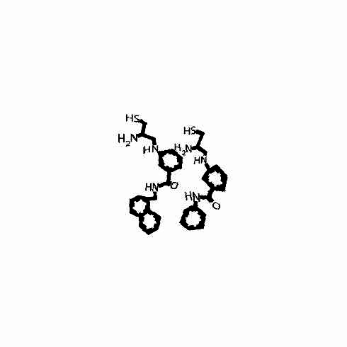 NC(CS)CNc1cccc(C(=O)NCc2cccc3ccccc23)c1.NC(CS)CNc1cccc(C(=O)Nc2ccccc2)c1